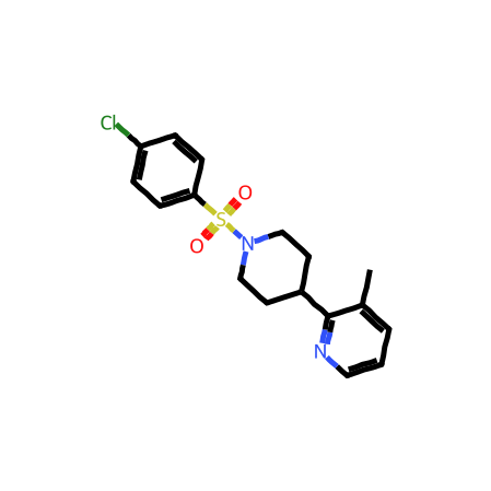 Cc1cccnc1C1CCN(S(=O)(=O)c2ccc(Cl)cc2)CC1